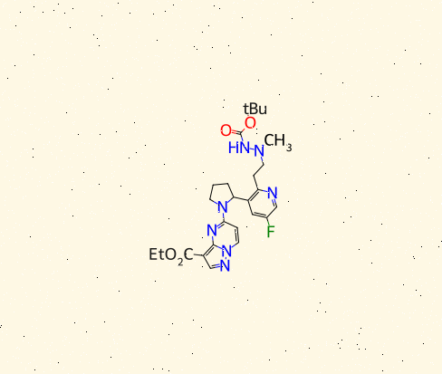 CCOC(=O)c1cnn2ccc(N3CCCC3c3cc(F)cnc3CCN(C)NC(=O)OC(C)(C)C)nc12